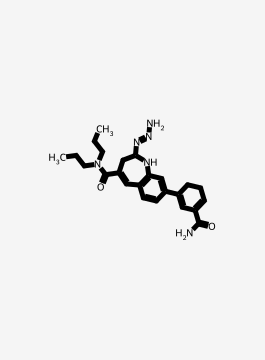 CCCN(CCC)C(=O)C1=Cc2ccc(C3=CC(C(N)=O)=CCC3)cc2NC(N=NN)C1